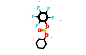 O=S(Oc1c(F)c(F)c(F)c(F)c1F)OC1CCCCC1